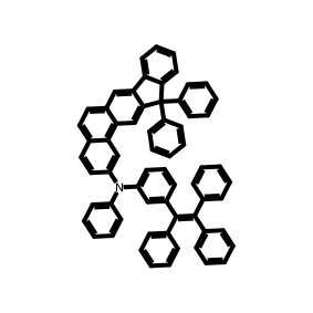 c1ccc(C(=C(c2ccccc2)c2cccc(N(c3ccccc3)c3ccc4ccc5cc6c(cc5c4c3)C(c3ccccc3)(c3ccccc3)c3ccccc3-6)c2)c2ccccc2)cc1